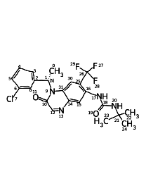 C[C@@H](c1cccc(Cl)c1)n1c(=O)cnc2cc(NC(=O)NC(C)(C)C)c(C(F)(F)F)cc21